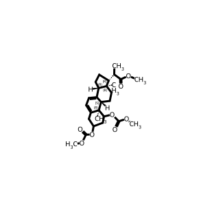 COC(=O)OC1CC2=CC=C3[C@@H]4CC[C@H](C(C)C(=O)OC)[C@@]4(C)CC[C@@H]3[C@@]2(C)C(OC(=O)OC)C1